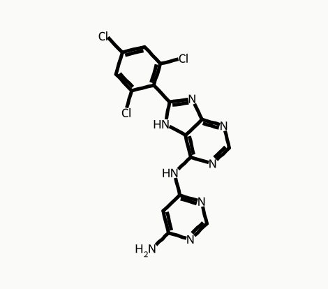 Nc1cc(Nc2ncnc3nc(-c4c(Cl)cc(Cl)cc4Cl)[nH]c23)ncn1